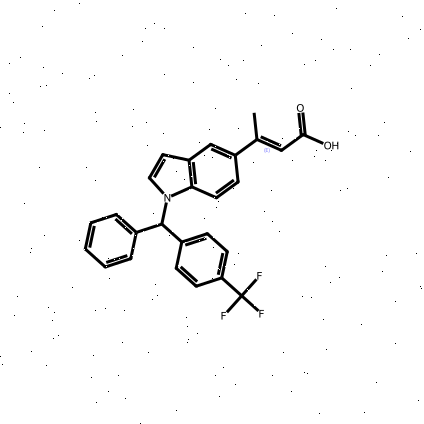 C/C(=C\C(=O)O)c1ccc2c(ccn2C(c2ccccc2)c2ccc(C(F)(F)F)cc2)c1